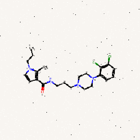 CCCn1ccc(C(=O)NCCCN2CCN(c3cccc(Cl)c3Cl)CC2)c1C